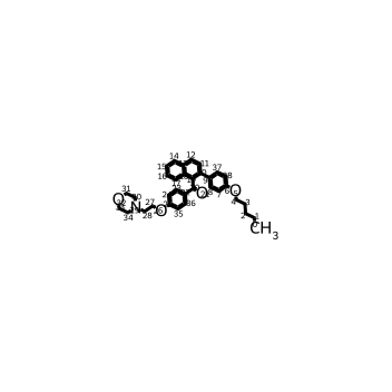 CCCCCOc1ccc(-c2ccc3ccccc3c2C(=O)c2ccc(OCCN3CCOCC3)cc2)cc1